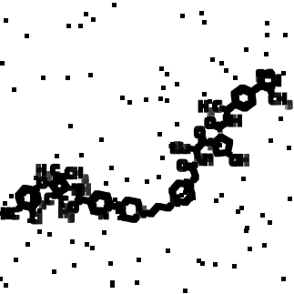 Cc1ncsc1-c1ccc([C@H](C)NC(=O)[C@@H]2C[C@@H](O)CN2C(=O)[C@@H](NC(=O)CN2CCN(CCCN3CCN(c4ccc(C(=O)N[C@H]5C(C)(C)[C@H](Oc6ccc(C#N)c(Cl)c6)C5(C)C)cn4)CC3)CC2)C(C)(C)C)cc1